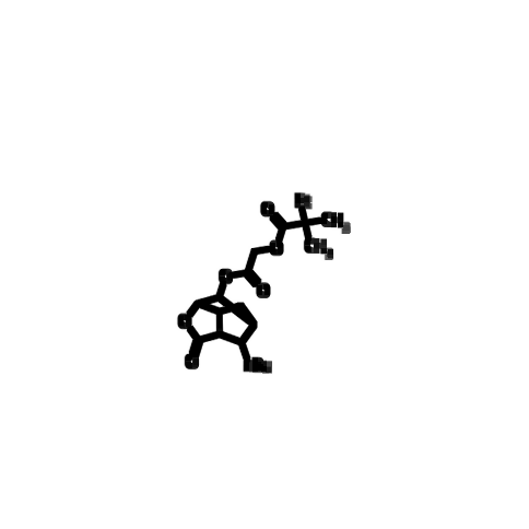 CCCCC1C2CC3C(OC(=O)C13)C2OC(=O)COC(=O)C(C)(C)CC